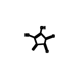 C=C1C(=O)C(=O)C(O)=C1O